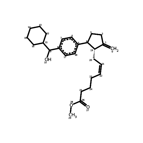 C=C1CCC(c2ccc(C(O)C3CCCCC3)cc2)[C@H]1C/C=C\CCCC(=O)OC